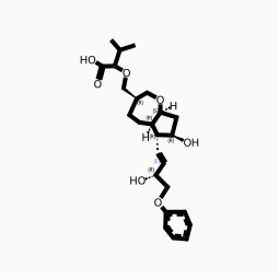 CC(C)C(OC[C@@H]1CC[C@@H]2[C@@H](/C=C/[C@@H](O)COc3ccccc3)[C@H](O)C[C@@H]2OC1)C(=O)O